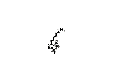 CCCCCCCC1=NN=C(C(F)(F)F)S1=S(=O)=O